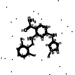 Cc1cccc(F)c1CNc1nc(Nc2cnn(C)c2)ncc1C(N)=O